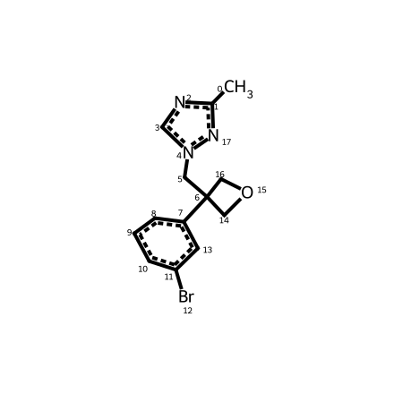 Cc1ncn(CC2(c3cccc(Br)c3)COC2)n1